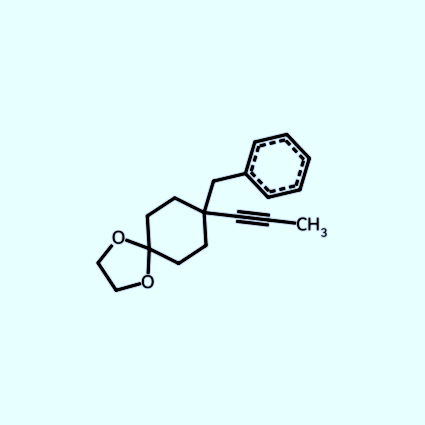 CC#CC1(Cc2ccccc2)CCC2(CC1)OCCO2